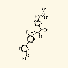 CCOc1cncc(-c2ccc(NC(=O)C(CC)c3csc(N[S+]([O-])C4CC4)n3)c(F)c2)n1